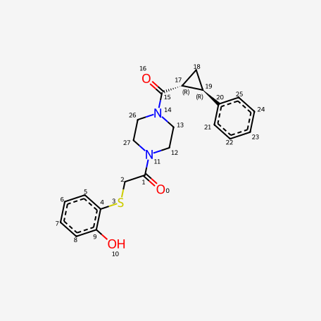 O=C(CSc1ccccc1O)N1CCN(C(=O)[C@@H]2C[C@H]2c2ccccc2)CC1